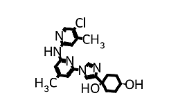 Cc1cc(Nc2cc(C)c(Cl)cn2)nc(-n2cnc([C@]3(O)CC[C@H](O)CC3)c2)c1